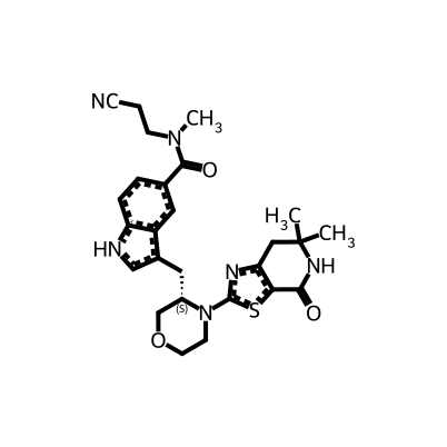 CN(CCC#N)C(=O)c1ccc2[nH]cc(C[C@H]3COCCN3c3nc4c(s3)C(=O)NC(C)(C)C4)c2c1